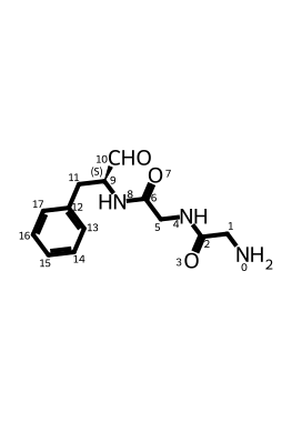 NCC(=O)NCC(=O)N[C@H](C=O)Cc1ccccc1